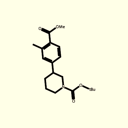 COC(=O)c1ccc(C2CCCN(C(=O)OC(C)(C)C)C2)cc1C